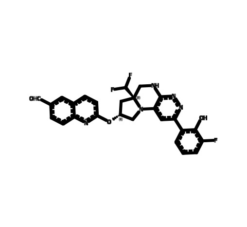 O=Cc1ccc2nc(O[C@H]3CN4c5cc(-c6cccc(F)c6O)nnc5NC[C@@]4(C(F)F)C3)ccc2c1